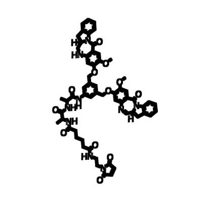 COc1cc2c(cc1OCc1cc(COc3cc4c(cc3OC)C(=O)N3c5ccccc5C[C@H]3CN4)cc(NC(=O)C(C)NC(=O)C(C)NC(=O)CCCCC(=O)NCCN3C(=O)C=CC3=O)c1)N=C[C@@H]1Cc3ccccc3N1C2=O